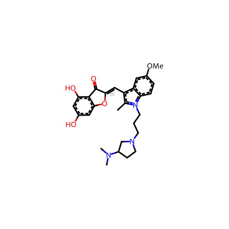 COc1ccc2c(c1)c(/C=C1\Oc3cc(O)cc(O)c3C1=O)c(C)n2CCCN1CCC(N(C)C)C1